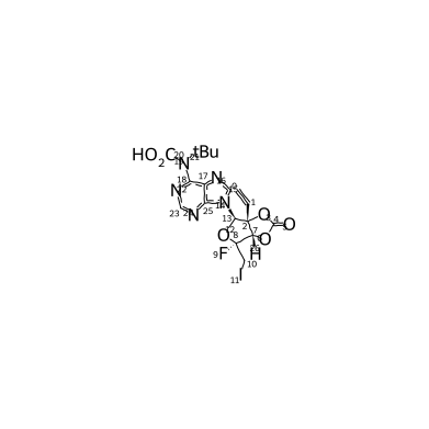 C#C[C@@]12OC(=O)O[C@@H]1[C@@](F)(CI)O[C@H]2n1cnc2c(N(C(=O)O)C(C)(C)C)ncnc21